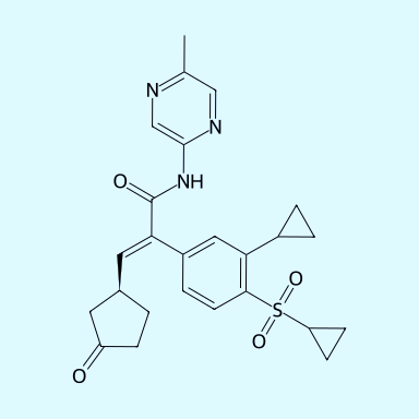 Cc1cnc(NC(=O)C(=C[C@H]2CCC(=O)C2)c2ccc(S(=O)(=O)C3CC3)c(C3CC3)c2)cn1